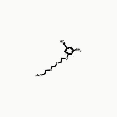 C#Cc1cc(N)cc(OCCOCCOCCOC)c1